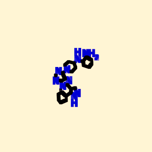 Cn1c(-c2cn[nH]c2-c2ccccc2)nc2c(N3CCC(Nc4ccccc4N)CC3)ncnc21